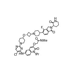 CNC(=O)COc1cc2cc(Nc3nc(N4CCC(O[C@H]5C[C@H](N6CCC(c7ccc8c(c7F)CN(C7CCCNC7=O)C8=O)CC6)C5)CC4)ncc3Cl)ccc2n(C(C)C)c1=O